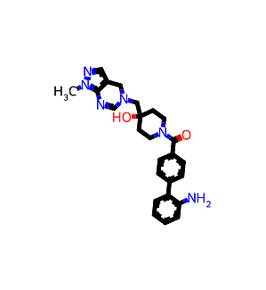 Cn1ncc2c1N=CN(CC1(O)CCN(C(=O)c3ccc(-c4ccccc4N)cc3)CC1)C2